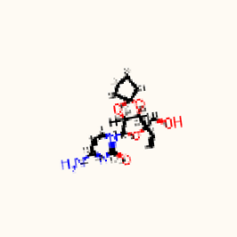 C=C[C@]1(CO)O[C@@H](n2ccc(N)nc2=O)[C@@H]2OC3(CCCC3)O[C@@H]21